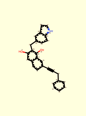 Oc1cc2ccc(C#CCc3ccccc3)cc2c(O)c1Cc1ccc2[nH]ccc2c1